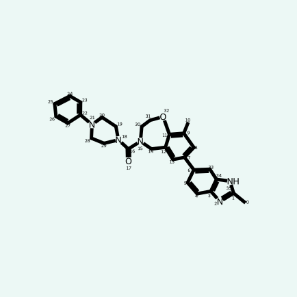 Cc1nc2ccc(-c3cc(C)c4c(c3)CN(C(=O)N3CCN(c5ccccc5)CC3)CCO4)cc2[nH]1